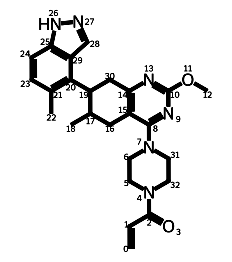 C=CC(=O)N1CCN(c2nc(OC)nc3c2CC(C)C(c2c(C)ccc4[nH]ncc24)C3)CC1